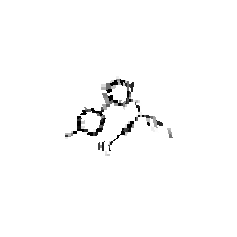 CC#CC(C)Oc1cc(-c2ccc(F)cc2)ncn1